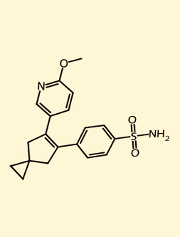 COc1ccc(C2=C(c3ccc(S(N)(=O)=O)cc3)CC3(CC3)C2)cn1